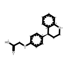 O=C(O)COc1ccc([C@@H]2CCOc3ccccc32)cc1